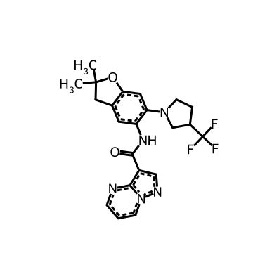 CC1(C)Cc2cc(NC(=O)c3cnn4cccnc34)c(N3CCC(C(F)(F)F)C3)cc2O1